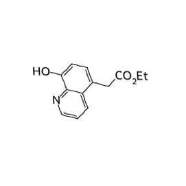 CCOC(=O)Cc1ccc(O)c2ncccc12